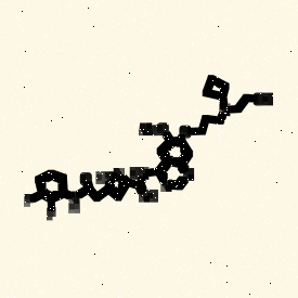 COc1cc2c(NC(=N)c3cc(CC(=O)Nc4cccc(F)c4F)[nH]n3)ncnc2cc1OCCCN(CCO)C1CCC1